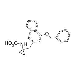 O=C(O)NC1(Cc2cc(OCc3ccccc3)c3ccccc3c2)CC1